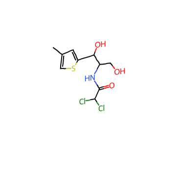 Cc1csc(C(O)C(CO)NC(=O)C(Cl)Cl)c1